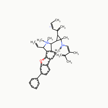 C=CC1c2c(ccc3c2oc2cc(-c4ccccc4)ccc23)C(C2C(C(=C)/C=C\C)C2(C)[N+](=C)C=C(C)C(=C)C)[N+]1(C)C